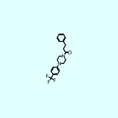 O=C(C[CH]c1ccccc1)N1CCN(c2ccc(C(F)(F)F)cc2)CC1